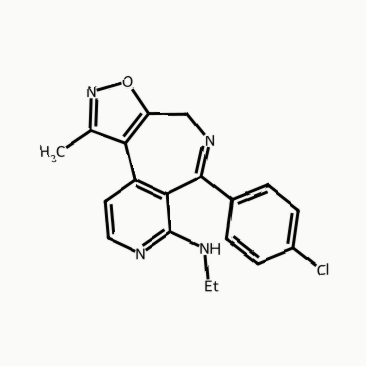 CCNc1nccc2c1C(c1ccc(Cl)cc1)=NCc1onc(C)c1-2